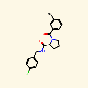 N#Cc1cccc(C(=O)N2CCC[C@H]2C(=O)NCc2ccc(Cl)cc2)c1